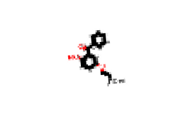 CCCCCCCCCCCCOc1ccc(O)c(C(=O)c2ccccc2)c1